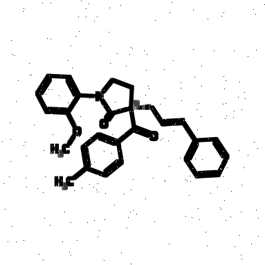 COc1ccccc1N1CC[C@@](CC=Cc2ccccc2)(C(=O)c2ccc(C)cc2)C1=O